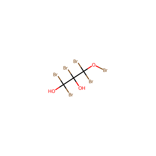 OC(Br)(Br)C(O)(Br)C(Br)(Br)OBr